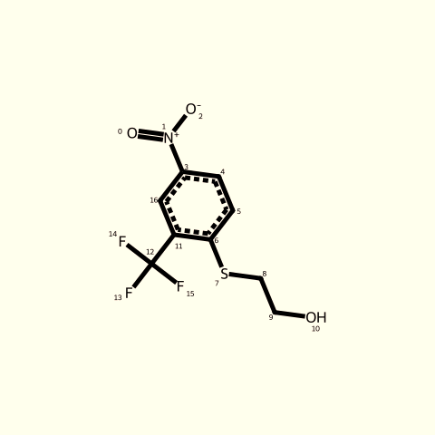 O=[N+]([O-])c1ccc(SCCO)c(C(F)(F)F)c1